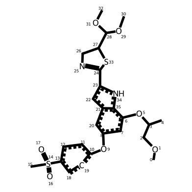 COCC(C)Oc1cc(Oc2ccc(S(C)(=O)=O)cc2)cc2cc(C3=NCC(C(OC)OC)S3)[nH]c12